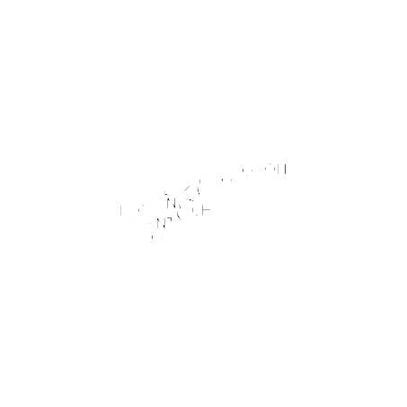 CCCC(C(=O)NC=O)N(C=O)C(=O)c1ccc(OCCOCCOCCO)cc1C